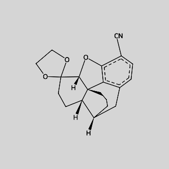 N#Cc1ccc2c3c1O[C@H]1C4(CC[C@H]5[C@H](CCC[C@@]351)C2)OCCO4